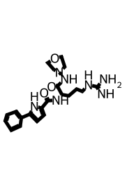 N=C(N)NCCCC(NC(=O)c1ccc(-c2ccccc2)[nH]1)C(=O)NN1CCOCC1